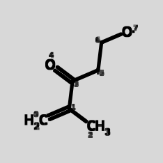 C=C(C)C(=O)[CH]C[O]